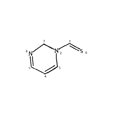 S=CN1C=CC=NC1